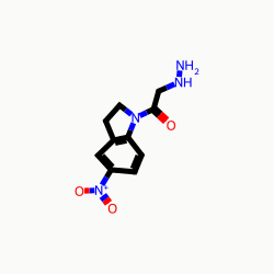 NNCC(=O)N1CCc2cc([N+](=O)[O-])ccc21